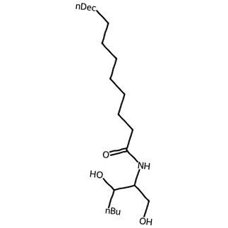 CCCCCCCCCCCCCCCCCC(=O)NC(CO)C(O)CCCC